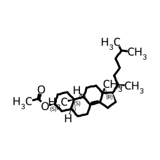 CC(=O)O[C@H]1CC[C@@]2(C)[C@@H](CCC3=C4CC[C@H]([C@H](C)CCCC(C)C)[C@@]4(C)CC[C@@H]32)C1